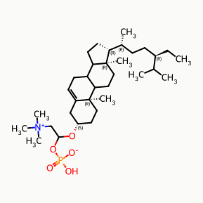 CC[C@H](CC[C@@H](C)[C@H]1CCC2C3CC=C4C[C@@H](OC(C[N+](C)(C)C)OP(=O)([O-])O)CC[C@]4(C)C3CC[C@@]21C)C(C)C